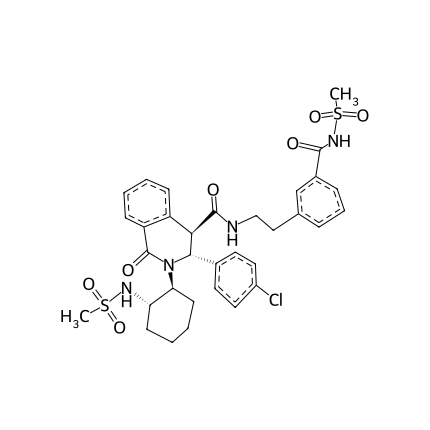 CS(=O)(=O)NC(=O)c1cccc(CCNC(=O)[C@@H]2c3ccccc3C(=O)N([C@H]3CCCC[C@@H]3NS(C)(=O)=O)[C@H]2c2ccc(Cl)cc2)c1